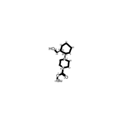 CC(C)(C)OC(=O)N1CCN([C@@H]2CCCC[C@@H]2CO)CC1